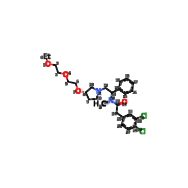 CCOCCOCCO[C@H]1CCN(CC(c2ccccc2)N(C)C(=O)Cc2ccc(Cl)c(Cl)c2)C1